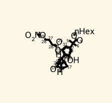 CCCCCCOC(=O)C(C)(C)c1cc(O)c([C@H]2CC(=O)[C@H]3C[C@H]2C3(C)C)c(OC(=O)CCCO[N+](=O)[O-])c1